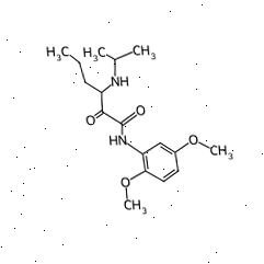 CCCC(NC(C)C)C(=O)C(=O)Nc1cc(OC)ccc1OC